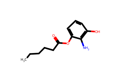 CCCCCC(=O)Oc1cccc(O)c1N